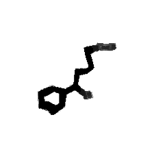 CCC(CCCC=O)c1ccccc1